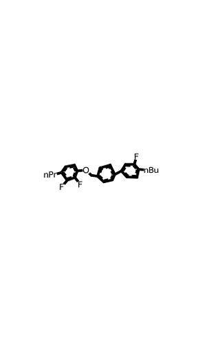 CCCCc1ccc(-c2ccc(COc3ccc(CCC)c(F)c3F)cc2)cc1F